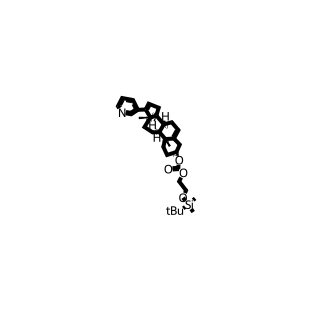 CC(C)(C)[Si](C)(C)OCCOC(=O)O[C@H]1CC[C@@]2(C)C(=CC[C@@H]3[C@@H]2CC[C@]2(C)C(c4cccnc4)=CC[C@@H]32)C1